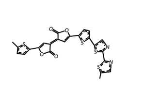 Cc1ccc(C2=C/C(=C3/C=C(c4ccc(-c5cnc(-c6ncc(C)s6)s5)s4)OC3=O)C(=O)O2)s1